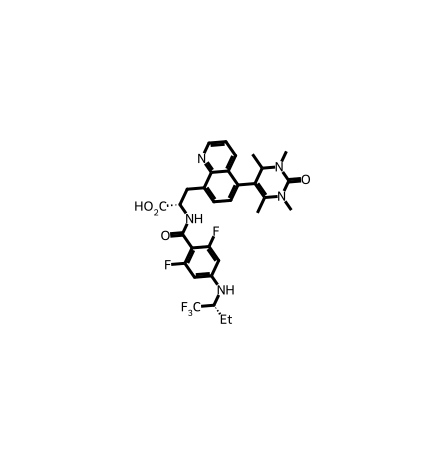 CC[C@@H](Nc1cc(F)c(C(=O)N[C@@H](Cc2ccc(C3=C(C)N(C)C(=O)N(C)C3C)c3cccnc23)C(=O)O)c(F)c1)C(F)(F)F